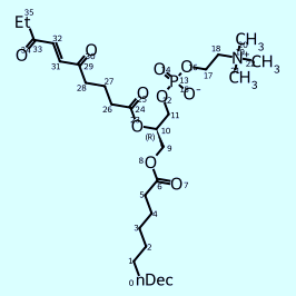 CCCCCCCCCCCCCCCC(=O)OC[C@H](COP(=O)([O-])OCC[N+](C)(C)C)OC(=O)CCCC(=O)C=CC(=O)CC